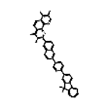 Cc1cnc2c(ccc3c(C)c(C)c(-c4ccc5cc(-c6ccc(-c7ccc8c(c7)C(C)(C)c7ccccc7-8)cc6)ccc5c4)nc32)c1C